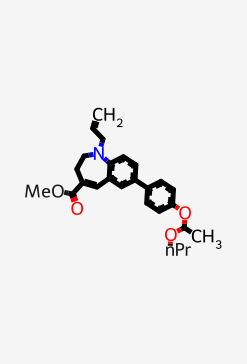 C=CCN1CCC(C(=O)OC)=Cc2cc(-c3ccc(OC(C)OCCC)cc3)ccc21